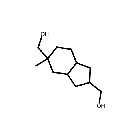 CC1(CO)CCC2CC(CO)CC2C1